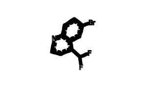 FC(F)c1ccnc2ccc(Br)cc12